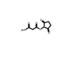 CNC(=O)CC(=O)OC1C(=O)CCC1=O